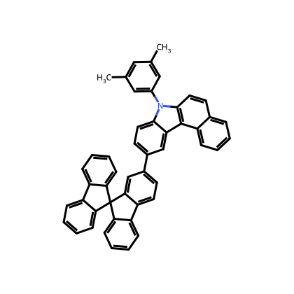 Cc1cc(C)cc(-n2c3ccc(-c4ccc5c(c4)C4(c6ccccc6-c6ccccc64)c4ccccc4-5)cc3c3c4ccccc4ccc32)c1